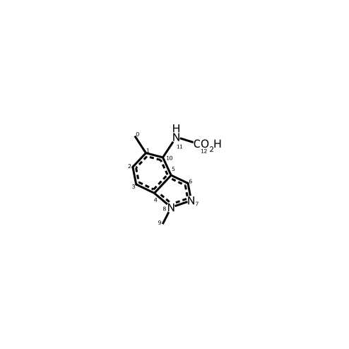 Cc1ccc2c(cnn2C)c1NC(=O)O